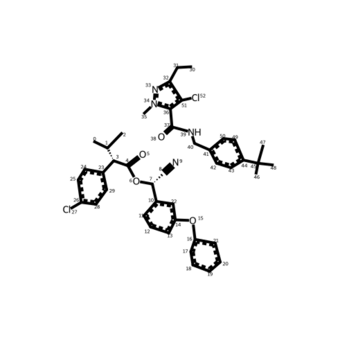 CC(C)[C@H](C(=O)O[C@H](C#N)c1cccc(Oc2ccccc2)c1)c1ccc(Cl)cc1.CCc1nn(C)c(C(=O)NCc2ccc(C(C)(C)C)cc2)c1Cl